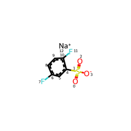 O=S(=O)([O-])c1cc(F)ccc1F.[Na+]